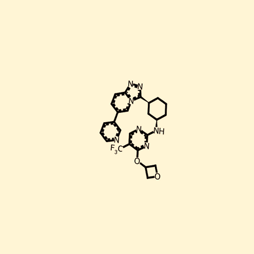 FC(F)(F)c1cnc(N[C@@H]2CCC[C@H](c3nnc4ccc(-c5cccnc5)cn34)C2)nc1OC1COC1